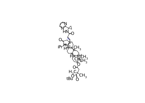 CC(C)C1=C2[C@H]3CC[C@@H]4[C@@]5(C)CC[C@H](OC(=O)CC(C)(C)C(=O)OC(C)(C)C)C(C)(C)[C@@H]5CC[C@@]4(C)[C@]3(C)CC[C@@]2(/C=C/C(=O)NC2(c3ncccn3)CC2)CC1=O